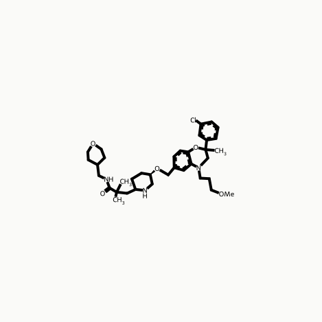 COCCCN1CC(C)(c2cccc(Cl)c2)Oc2ccc(CO[C@@H]3CCC(CC(C)(C)C(=O)NCC4CCOCC4)NC3)cc21